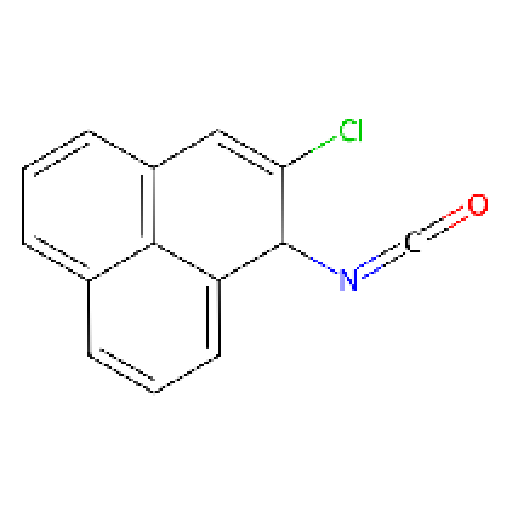 O=C=NC1C(Cl)=Cc2cccc3cccc1c23